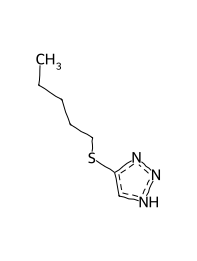 CCCCCSc1c[nH]nn1